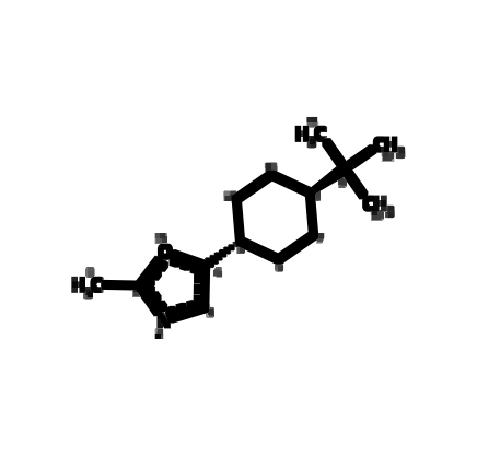 Cc1ncc([C@H]2CC[C@H](C(C)(C)C)CC2)o1